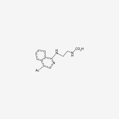 CC(=O)c1cnc(NCCNC(=O)O)c2ccccc12